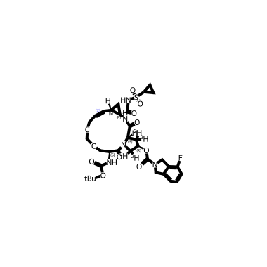 [2H]C1([2H])[C@@H](OC(=O)N2Cc3cccc(F)c3C2)C([2H])([2H])N2C(=O)[C@@H](NC(=O)OC(C)(C)C)CCCCC/C=C\[C@@H]3C[C@@]3(C(=O)NS(=O)(=O)C3CC3)NC(=O)[C@@H]21